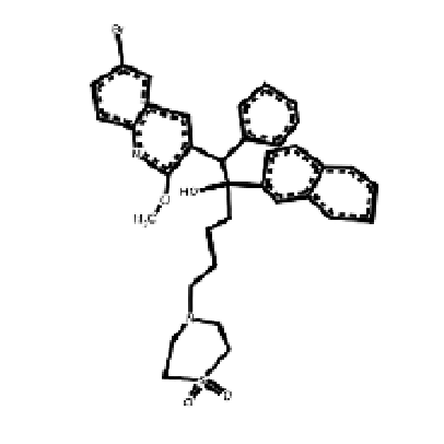 COc1nc2ccc(Br)cc2cc1C(c1ccccc1)C(O)(CCCCN1CCS(=O)(=O)CC1)c1ccc2ccccc2c1